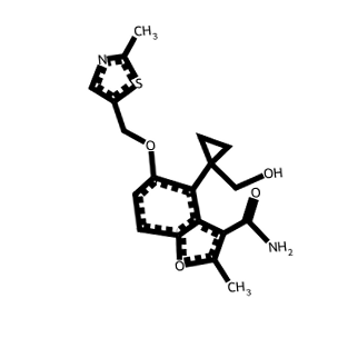 Cc1ncc(COc2ccc3oc(C)c(C(N)=O)c3c2C2(CO)CC2)s1